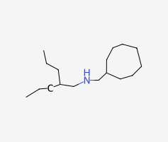 CCCC(CCC)CNCC1CCCCCCC1